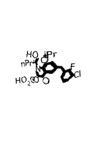 CCC[C@@H](CO)n1cc(OC(=O)O)c(=O)c2cc(Cc3cccc(Cl)c3F)cc(OC(C)C)c21